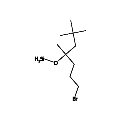 CC(C)(C)CC(C)(CCCBr)O[SiH3]